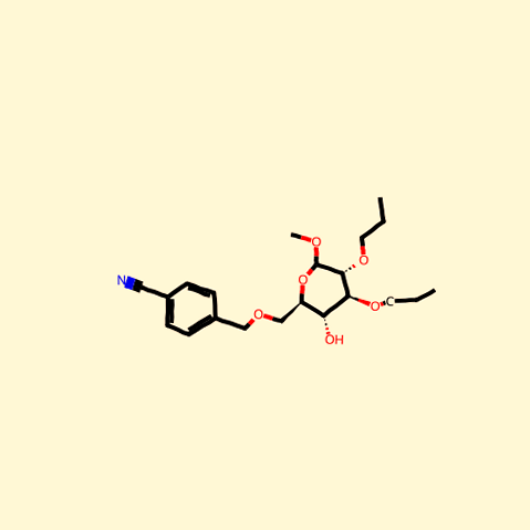 CCCO[C@H]1[C@H](O)[C@@H](COCc2ccc(C#N)cc2)OC(OC)[C@@H]1OCCC